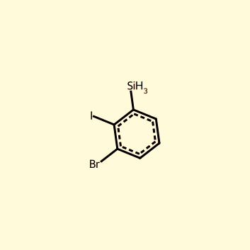 [SiH3]c1cccc(Br)c1I